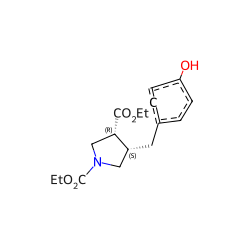 CCOC(=O)[C@H]1CN(C(=O)OCC)C[C@H]1Cc1ccc(O)cc1